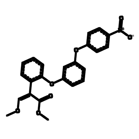 COC=C(C(=O)OC)c1ccccc1Oc1cccc(Oc2ccc([N+](=O)[O-])cc2)c1